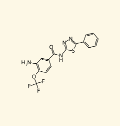 Nc1cc(C(=O)Nc2nnc(-c3ccccc3)s2)ccc1OC(F)(F)F